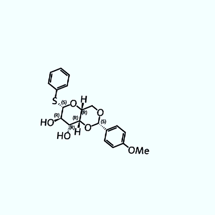 COc1ccc([C@H]2OC[C@H]3O[C@@H](Sc4ccccc4)[C@H](O)[C@@H](O)[C@H]3O2)cc1